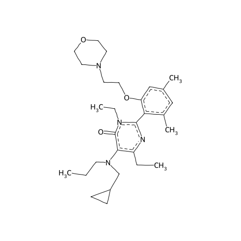 CCCN(CC1CC1)c1c(CC)nc(-c2c(C)cc(C)cc2OCCN2CCOCC2)n(CC)c1=O